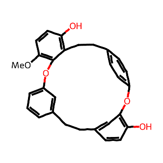 COc1ccc(O)c2c1Oc1cccc(c1)CCc1ccc(O)c(c1)Oc1ccc(cc1)CC2